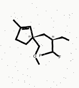 CC[C@H](C[C@]1(COC)C=C(C)CC1)C(F)F